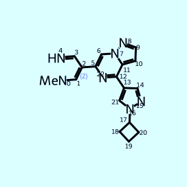 CN/C=C(\C=N)c1cn2nccc2c(-c2cnn(C3CCC3)c2)n1